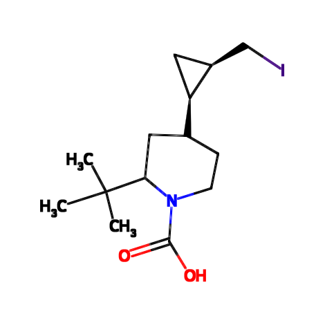 CC(C)(C)C1CC([C@H]2C[C@H]2CI)CCN1C(=O)O